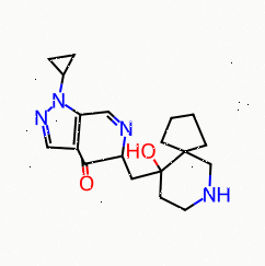 O=C1c2cnn(C3CC3)c2C=NC1CC1(O)CCNCC12CCCC2